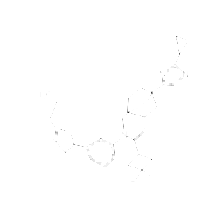 CCCC1=NCC(c2cccc(N(CC34CCC(c5nc(C6CC6)no5)(CC3)CC4)C(=O)C3CC(F)(F)C3)c2)O1